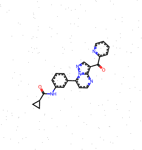 O=C(c1ccccn1)c1cnn2c(-c3cccc(NC(=O)C4CC4)c3)ccnc12